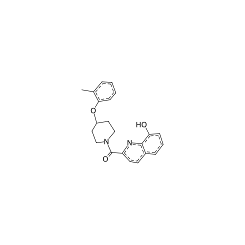 Cc1ccccc1OC1CCN(C(=O)c2ccc3cccc(O)c3n2)CC1